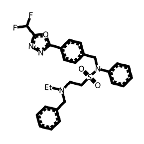 CCN(CCS(=O)(=O)N(Cc1ccc(-c2nnc(C(F)F)o2)cc1)c1ccccc1)Cc1ccccc1